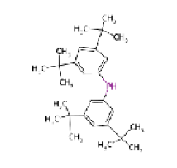 CC(C)(C)c1cc(Pc2cc(C(C)(C)C)cc(C(C)(C)C)c2)cc(C(C)(C)C)c1